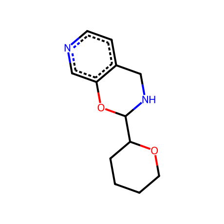 c1cc2c(cn1)OC(C1CCCCO1)NC2